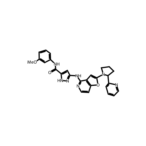 COc1cccc(NC(=O)c2cc(Nc3nccc4oc(N5CCCC5c5ccccn5)cc34)n[nH]2)c1